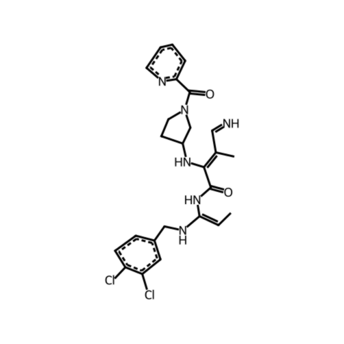 CC=C(NCc1ccc(Cl)c(Cl)c1)NC(=O)/C(NC1CCN(C(=O)c2ccccn2)C1)=C(\C)C=N